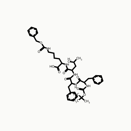 CC(C)CC(NC(=O)C(Cc1ccccc1)NC(=O)C(Cc1ccccc1)NC(=O)OC(C)(C)C)C(=O)NC(CCCCNC(=O)OCc1ccccc1)C(=O)O